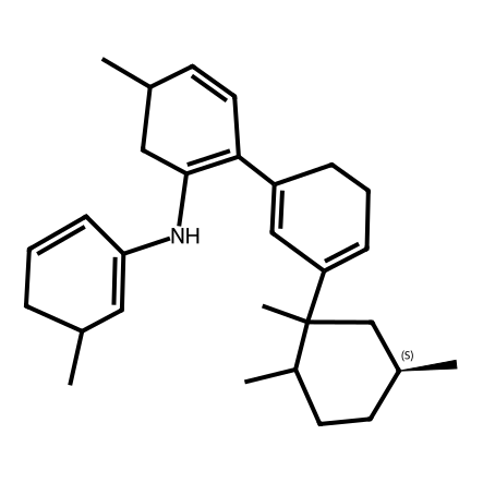 CC1C=C(NC2=C(C3=CC(C4(C)C[C@@H](C)CCC4C)=CCC3)C=CC(C)C2)C=CC1